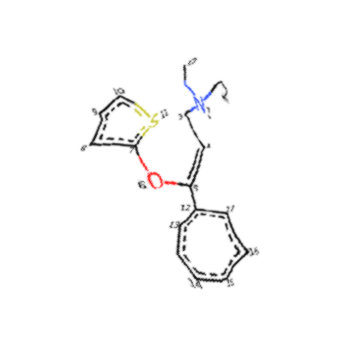 CN(C)CC=C(Oc1cccs1)c1ccccc1